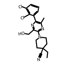 CCC1(C#N)CCN(c2nc(C)c(-c3cccc(Cl)c3Cl)nc2CO)CC1